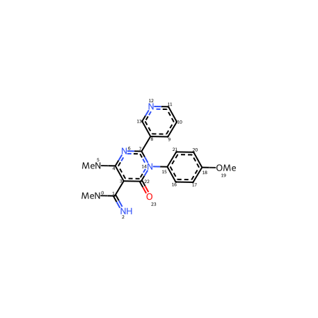 CNC(=N)c1c(NC)nc(-c2cccnc2)n(-c2ccc(OC)cc2)c1=O